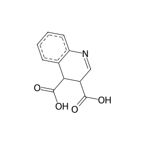 O=C(O)C1C=Nc2ccccc2C1C(=O)O